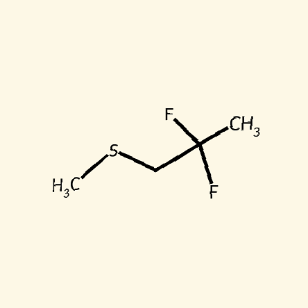 CSCC(C)(F)F